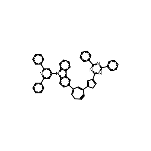 C1#CC(C2=CC(c3nc(-c4ccccc4)nc(-c4ccccc4)n3)=CC2)=CC(c2ccc3c(c2)c2ccccc2n3-c2cc(-c3ccccc3)nc(-c3ccccc3)c2)=CC1